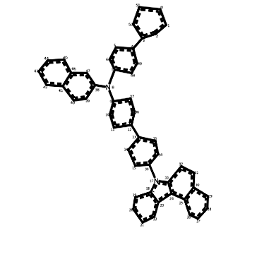 c1ccc(-c2ccc(N(c3ccc(-c4ccc(-n5c6ccccc6c6c7ccccc7ccc65)cc4)cc3)c3ccc4ccccc4c3)cc2)cc1